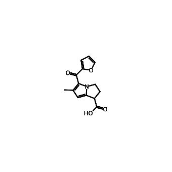 Cc1cc2n(c1C(=O)c1ccco1)CCC2C(=O)O